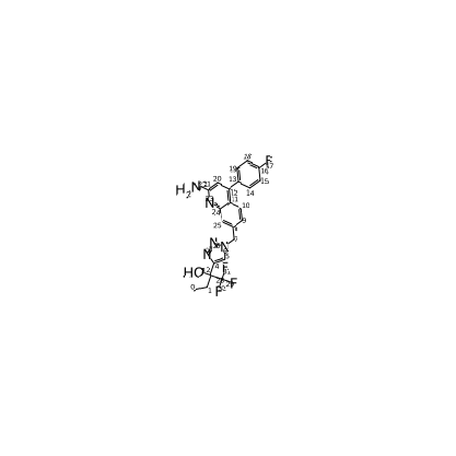 CCC(O)(c1cn(Cc2ccc3c(-c4ccc(F)cc4)cc(N)nc3c2)nn1)C(F)(F)F